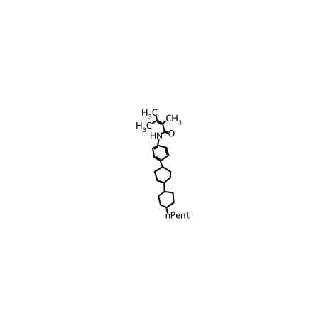 CCCCCC1CCC(C2CCC(c3ccc(NC(=O)C(C)=C(C)C)cc3)CC2)CC1